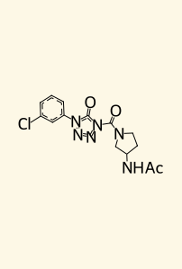 CC(=O)NC1CCN(C(=O)n2nnn(-c3cccc(Cl)c3)c2=O)C1